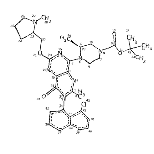 Cc1nc2c(N3CCN(C(=O)OC(C)(C)C)C[C@@H]3C)nc(OCC3CCCN3C)nc2c(=O)n1-c1cccc2cccc(Cl)c12